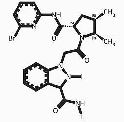 C[C@@H]1C[C@@H](C(=O)Nc2cccc(Br)n2)N(C(=O)CN2c3ccccc3C(C(=O)NI)N2I)[C@@H]1C